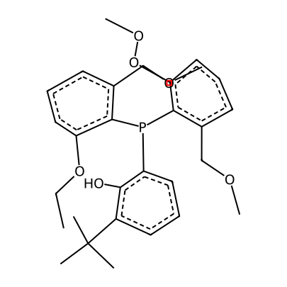 CCOc1cccc(COC)c1P(c1cccc(C(C)(C)C)c1O)c1c(COC)cccc1OOC